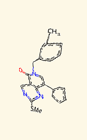 CSc1ncc2c(=O)n(Cc3cccc(C)c3)cc(-c3ccccc3)c2n1